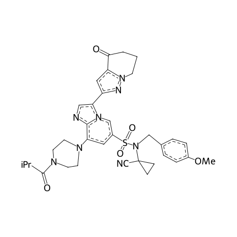 COc1ccc(CN(C2(C#N)CC2)S(=O)(=O)c2cc(N3CCN(C(=O)C(C)C)CC3)c3ncc(-c4cc5n(n4)CCCC5=O)n3c2)cc1